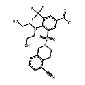 N#Cc1cccc2c1CCN(S(=O)(=O)c1cc([N+](=O)[O-])cc(C(F)(F)F)c1N(CCO)CCO)C2